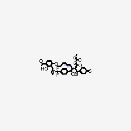 CCCc1c(OCC/C=C\C=C\[C@@H](c2c(OC(=O)OC)oc3c(c2=O)=CCC(=S)C=3)[C@@H](O)c2ccc(C(F)(F)F)cc2)ccc(C(C)=O)c1O